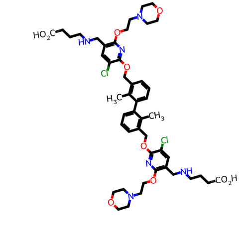 Cc1c(COc2nc(OCCN3CCOCC3)c(CNCCCC(=O)O)cc2Cl)cccc1-c1cccc(COc2nc(OCCN3CCOCC3)c(CNCCCC(=O)O)cc2Cl)c1C